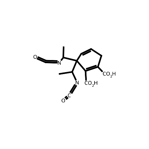 CC(N=C=O)C1(C(C)N=C=O)C=CCC(C(=O)O)=C1C(=O)O